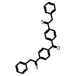 O=C(c1ccc(C(=S)Cc2ccccc2)cc1)c1ccc(C(=S)Cc2ccccc2)cc1